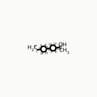 C=CC1CCC(C2CCC(C(C)O)CC2)CC1